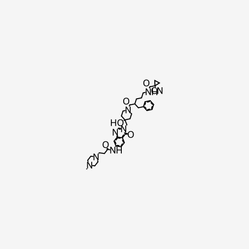 CN1CCN(CCC(=O)Nc2ccc3c(=O)n(CC4(O)CCN(C(=O)C(CCCNC(=O)C5(C#N)CC5)Cc5ccccc5)CC4)cnc3c2)CC1